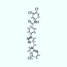 O=C(Nc1ccc(Cl)c(Cl)c1)c1ccc(-n2cc(Cn3ccc4c(Cl)ccnc43)nn2)cc1